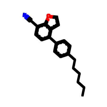 CCCCCCc1ccc(-c2ccc(C#N)c3occc23)cc1